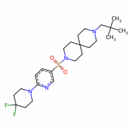 CC(C)(C)CN1CCC2(CC1)CCN(S(=O)(=O)c1ccc(N3CCC(F)(F)CC3)nc1)CC2